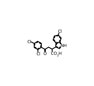 O=C(CC(C(=O)O)c1c[nH]c2cc(Cl)ccc12)c1ccc(Cl)cc1Cl